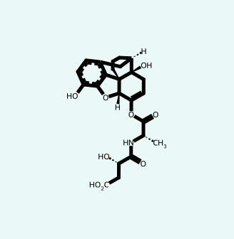 C[C@H](NC(=O)[C@@H](O)CC(=O)O)C(=O)OC1=CC[C@@]2(O)[C@@H]3CCC[C@@]24c2c(ccc(O)c2O[C@@H]14)C3